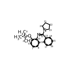 C[Si](C)(C)Oc1ccccc1N=C(c1ccccc1)N1CCCC1